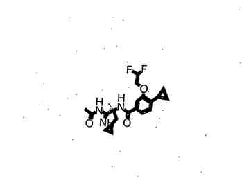 CC(=O)NC(=N)[C@](C)(CC1CC1)NC(=O)c1ccc(C2CC2)c(OCC(F)F)c1